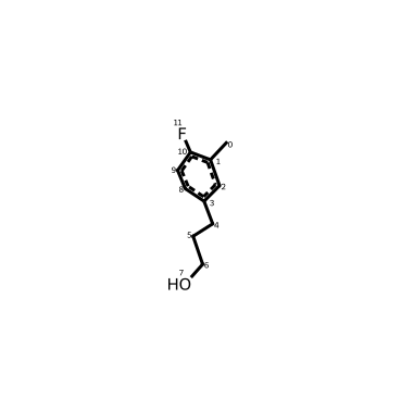 Cc1cc(CCCO)ccc1F